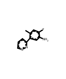 Cc1cc(F)c(N)cc1-c1cccnn1